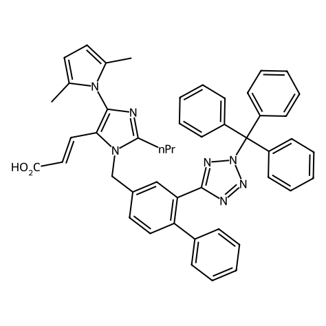 CCCc1nc(-n2c(C)ccc2C)c(C=CC(=O)O)n1Cc1ccc(-c2ccccc2)c(-c2nnn(C(c3ccccc3)(c3ccccc3)c3ccccc3)n2)c1